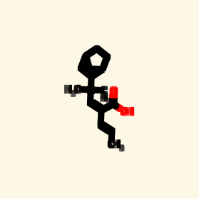 CC=CC(=C[Si](C)(C)C1CC2CCC1C2)C(=O)O